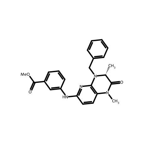 COC(=O)c1cccc(Nc2ccc3c(n2)N(Cc2ccccc2)[C@H](C)C(=O)N3C)c1